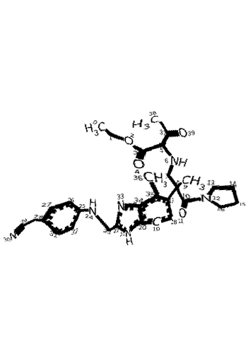 CCOC(=O)C(NCC(C)(C(=O)N1CCCC1)c1ccc2[nH]c(CNc3ccc(C#N)cc3)nc2c1C)C(C)=O